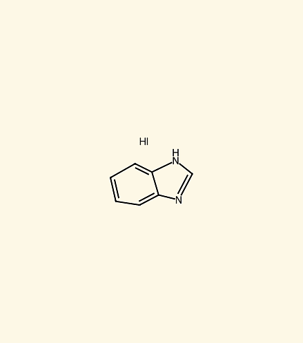 I.c1ccc2[nH]cnc2c1